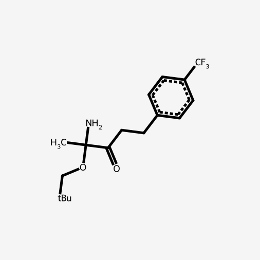 CC(C)(C)COC(C)(N)C(=O)CCc1ccc(C(F)(F)F)cc1